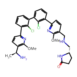 COc1nc(-c2cccc(-c3cccc(-c4ccc([C@H](C)N)c(OC)n4)c3Cl)c2Cl)ccc1CNC[C@@H]1CCC(=O)N1